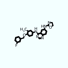 Cc1cc(Nc2ncnc3ccc(NC4=NCCO4)cc23)ccc1OCc1cccc(F)c1